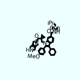 COc1ccc(-c2c(C3CCCCC3)c3ccc(C(=O)NS(=O)(=O)CC(C)C)cc3n2CC2(C(=O)N3CC45CNCC4(COC5)C3)CC2)cc1